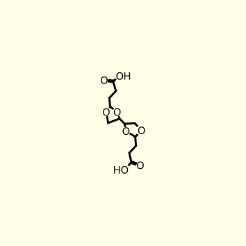 O=C(O)CCC1OCC(C2COC(CCC(=O)O)O2)O1